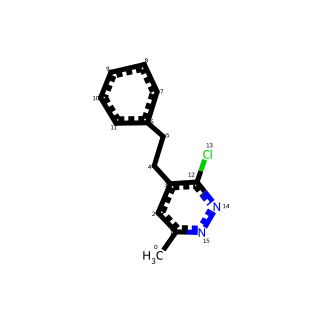 Cc1cc(CCc2ccccc2)c(Cl)nn1